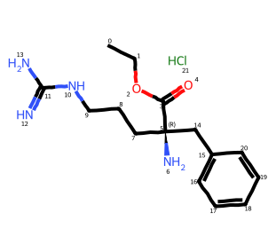 CCOC(=O)[C@@](N)(CCCNC(=N)N)Cc1ccccc1.Cl